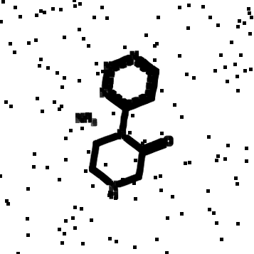 N.O=C1CNCCN1c1ccnnn1